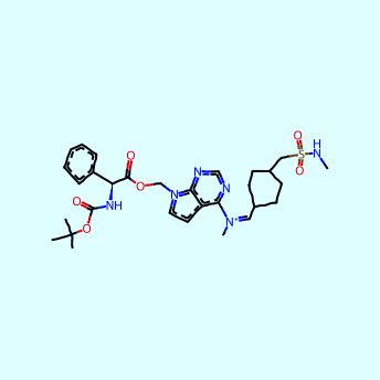 CNS(=O)(=O)CC1CCC(/C=[N+](/C)c2ncnc3c2ccn3COC(=O)[C@@H](NC(=O)OC(C)(C)C)c2ccccc2)CC1